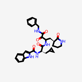 O=C(NCc1ccccc1)C(=O)C(C[C@@H]1CCCNC1=O)NC(=O)[C@H](CC1CC1)NC(=O)c1cc2ccccc2[nH]1